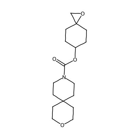 O=C(OC1CCC2(CC1)CO2)N1CCC2(CCOCC2)CC1